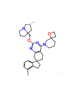 Cc1cccc2c1CCC21CCc2c(nc(OC[C@@]34CCCN3C[C@H](C)C4)nc2N2CCCC3(CCO3)C2)C1